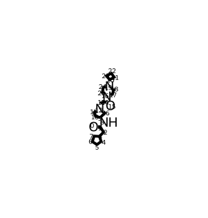 O=C(CC1CCCC1)NC1CCN(CC(=O)N2CCN(C3CCC3)CC2)C1